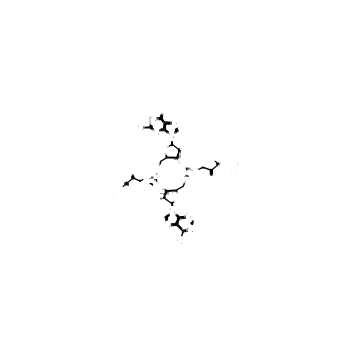 CC(C)(C)C(=O)CSP1(=O)OCC2OC(n3cnc4c(=O)[nH]c(N)nc43)[C@H](F)[C@@H]2OP(=O)(SCC(=O)C(C)(C)C)OCC2OC(n3cnc4c(N)ncnc43)[C@H](F)[C@@H]2O1